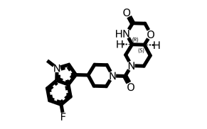 Cn1cc(C2CCN(C(=O)N3CC[C@@H]4OCC(=O)N[C@@H]4C3)CC2)c2cc(F)ccc21